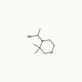 CC(S)N1CCOCC1(C)C